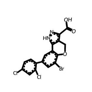 O=C(O)c1n[nH]c2c1COc1c(Br)cc(-c3ccc(Cl)cc3Cl)cc1-2